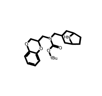 CC(C)(C)OC(=O)N(CC1CC2CCC(C1)N2)CC1COc2ccccc2O1